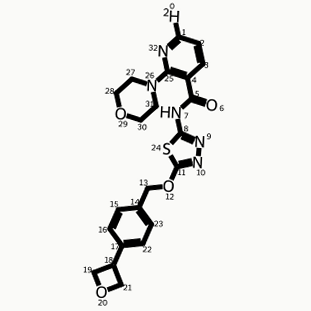 [2H]c1ccc(C(=O)Nc2nnc(OCc3ccc(C4COC4)cc3)s2)c(N2CCOCC2)n1